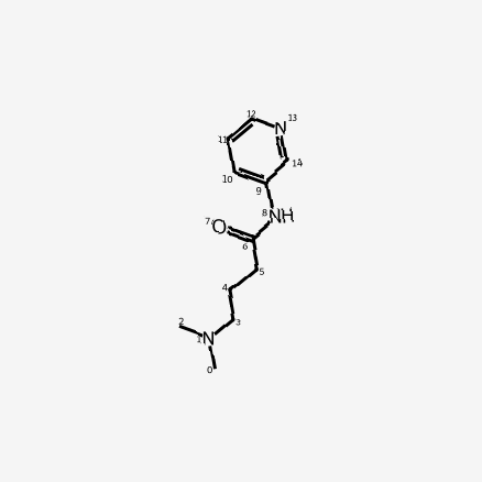 CN(C)CCCC(=O)Nc1c[c]cnc1